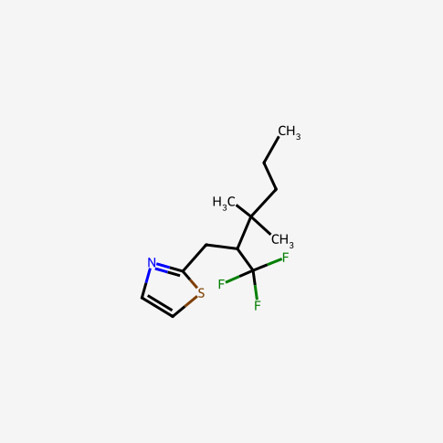 CCCC(C)(C)C(Cc1nccs1)C(F)(F)F